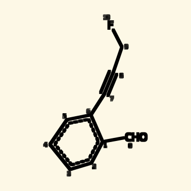 O=Cc1ccccc1C#CCF